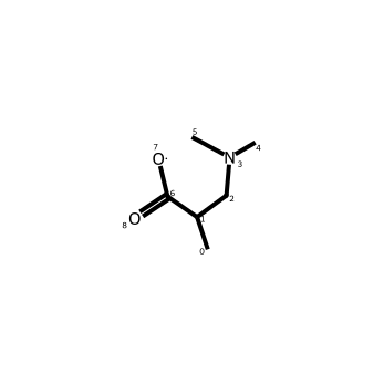 CC(CN(C)C)C([O])=O